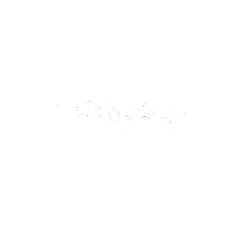 Cc1cc(C(=O)Nc2ccc(C3=CCN(C=O)CC3)cc2)c(C)cc1C(=O)Nc1ccc(CNC(=O)OC(C)(C)C)cc1